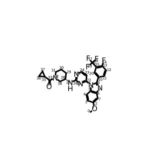 COc1ccc2c(c1)nc(-c1ccc(F)c(C(F)(F)F)c1)n2-c1ccnc(N[C@H]2CCCN(C(=O)C3CC3)C2)n1